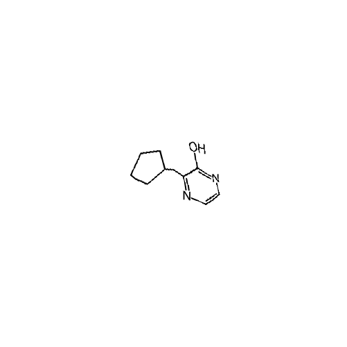 Oc1nccnc1C1CCCC1